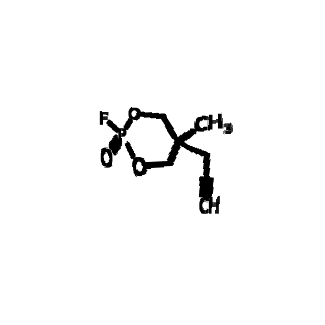 C#CCC1(C)COP(=O)(F)OC1